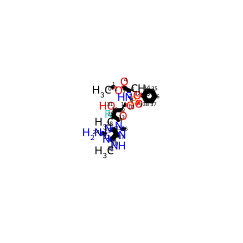 CCOC(=O)[C@@H](C)N[P@@](=O)(OC[C@H]1O[C@@H](n2cnc3c(NC)nc(N)nc32)[C@](C)(F)[C@@H]1O)Oc1ccccc1